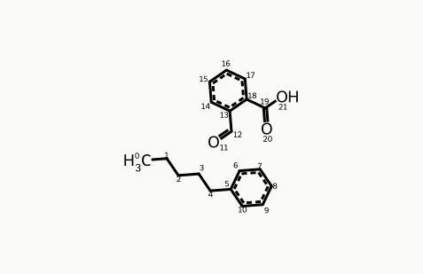 CCCCCc1ccccc1.O=Cc1ccccc1C(=O)O